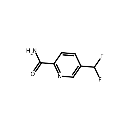 NC(=O)c1ccc(C(F)F)cn1